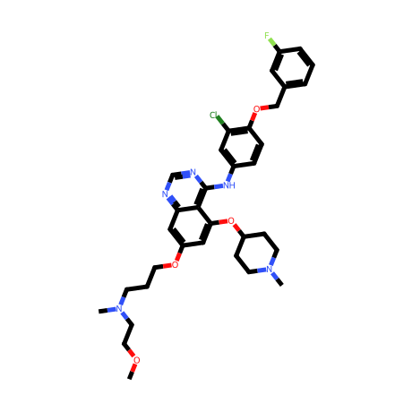 COCCN(C)CCCOc1cc(OC2CCN(C)CC2)c2c(Nc3ccc(OCc4cccc(F)c4)c(Cl)c3)ncnc2c1